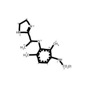 CCOC(=O)Nc1ccc(C)c(OC(C)C2=NCCN2)c1C